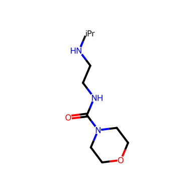 CC(C)NCCNC(=O)N1CCOCC1